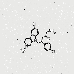 CN1CCc2c(n(CC(CC(=O)CN)c3ccc(Cl)cc3)c3ccc(Cl)cc23)C1